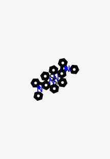 c1ccc(-n2c3ccccc3c3cc(N4[Si](c5ccccc5)(c5ccccc5)N(c5ccc6c(c5)c5ccccc5n6-c5ccccc5)[Si]4(c4ccccc4)c4ccccc4)ccc32)cc1